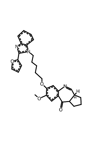 COc1cc2c(cc1OCCCCCn1c(-c3ccco3)nc3ccccc31)N=C[C@@H]1CCCC1C2=O